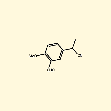 COc1ccc(C(C)C#N)cc1C=O